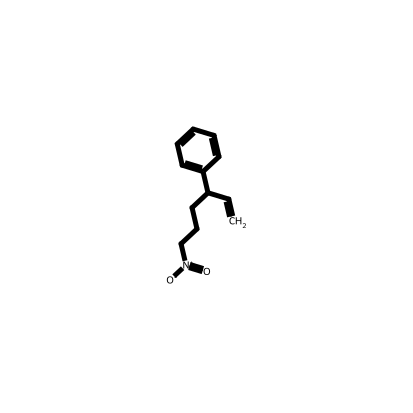 C=CC(CCC[N+](=O)[O-])c1ccccc1